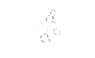 CCCN(Cc1cc[n+]([O-])cc1)C(CC)c1nc2scnc2c(=O)n1Cc1cncs1